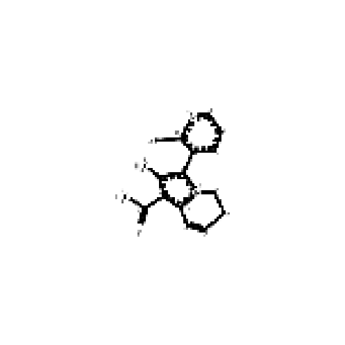 CC(=O)c1c(C)c(-c2cccnc2F)n2c1C=CCC2